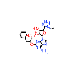 CCn1nnnc1C1OC(n2cnc3c(N)nc(O[C@H](CO)Cc4ccccc4)nc32)C(O)C1O